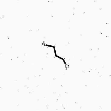 [C]CCCCCC